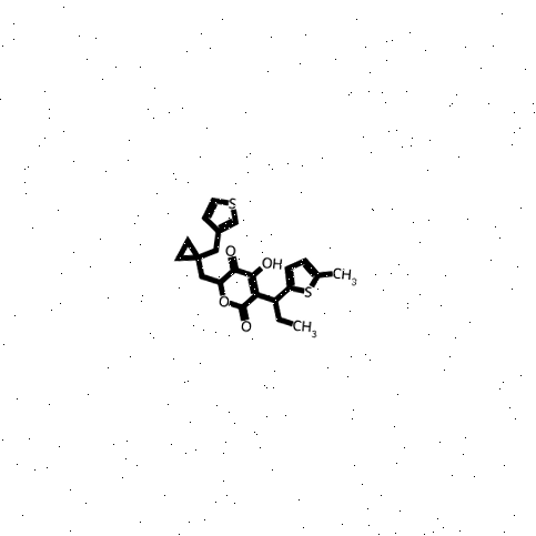 CCC(C1=C(O)C(=O)C(CC2(Cc3ccsc3)CC2)OC1=O)c1ccc(C)s1